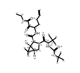 C=CCCC(NC(=O)[C@@H]1[C@@H]2[C@H](CN1C(=O)[C@@H](NC(=O)OC(C)(C)C)C(C)(C)C)C2(C)C)C(=O)C(=O)OCC